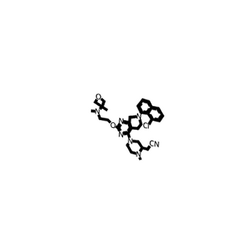 CN1CCN(c2nc(OCCN(C)C3(C)COC3)nc3c2CCN(c2cccc4cccc(Cl)c24)C3)CC1CC#N